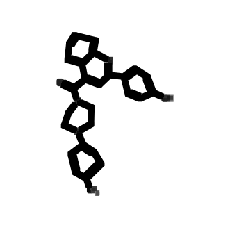 O=C(c1cc(-c2ccc(O)cc2)nc2ccccc12)N1CCN(c2ccc(C(F)(F)F)cc2)CC1